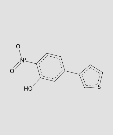 O=[N+]([O-])c1ccc(-c2ccsc2)cc1O